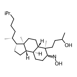 CC(C)CCC[C@@H](C)[C@H]1CC[C@H]2[C@@H]3CC/C(=N\O)[C@](C)(CCC(C)O)[C@H]3CC[C@]12C